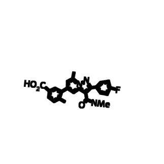 CNC(=O)c1c(-c2ccc(F)cc2)nn2c(C)cc(-c3cc(C(=O)O)ccc3C)cc12